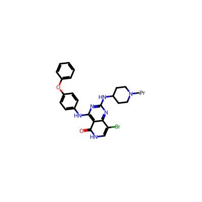 CC(C)N1CCC(Nc2nc(Nc3ccc(Oc4ccccc4)cc3)c3c(=O)[nH]cc(Br)c3n2)CC1